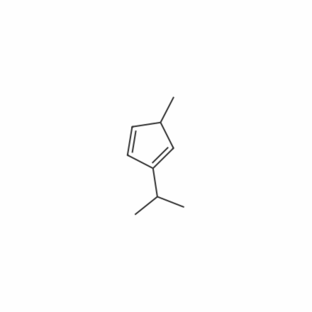 CC1C=CC(C(C)C)=C1